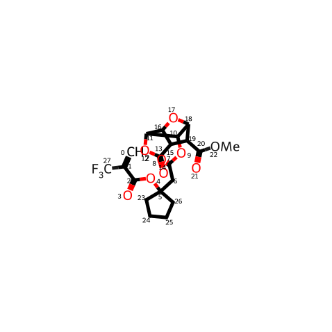 C=C(C(=O)OC1(CC(=O)OC2C3OC(=O)C4C3OC2C4C(=O)OC)CCCC1)C(F)(F)F